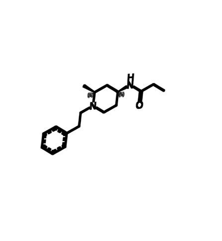 CCC(=O)N[C@H]1CCN(CCc2ccccc2)[C@@H](C)C1